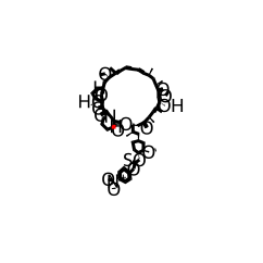 CO[C@H]1C[C@@H]2CC[C@@H](C)[C@@](O)(O2)C(=O)C(=O)N2CCCC[C@H]2C(=O)O[C@H]([C@H](C)C[C@@H]2CC[C@@H](OC(=S)Oc3ccc([N+](=O)[O-])cc3)[C@H](OC)C2)CC(=O)[C@H](C)/C=C(\C)[C@@H](O)[C@@H](OC)C(=O)[C@H](C)C[C@H](C)/C=C/C=C/C=C/1C